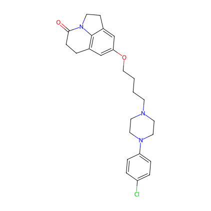 O=C1CCc2cc(OCCCCN3CCN(c4ccc(Cl)cc4)CC3)cc3c2N1CC3